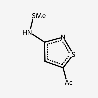 CSNc1cc(C(C)=O)sn1